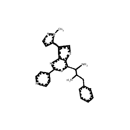 Cn1nccc1-c1csc2c(C(N)C(N)Cc3ccccc3)nc(-c3ccncc3)nc12